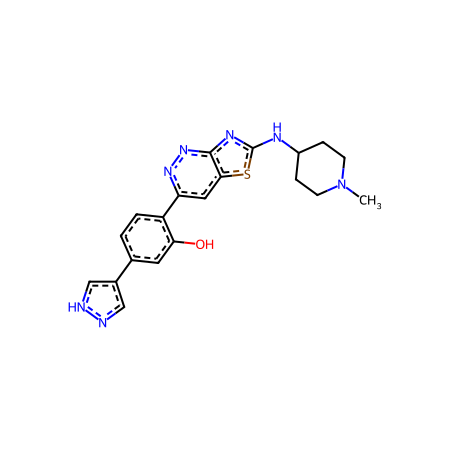 CN1CCC(Nc2nc3nnc(-c4ccc(-c5cn[nH]c5)cc4O)cc3s2)CC1